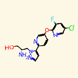 N[C@H](CO)Cn1nccc1-c1ccc(Oc2ncc(Cl)cc2F)cn1